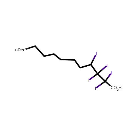 CCCCCCCCCCCCCCCCC(I)C(I)(I)C(I)(I)C(=O)O